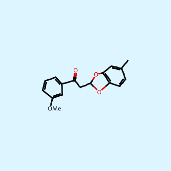 COc1cccc(C(=O)CC2Oc3ccc(C)cc3O2)c1